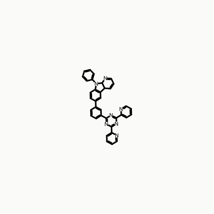 C1=CC2c3cc(-c4cccc(-c5nc(-c6ccccn6)nc(-c6ccccn6)n5)c4)ccc3N(c3ccccc3)C2N=C1